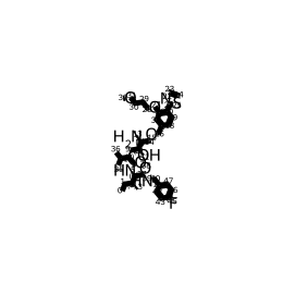 CC[C@H](C)[C@H](NC(=O)[C@H](C[C@H](O)[C@@H](N)COCc1ccc(-c2nccs2)c(OCCCOC)c1)C(C)C)C(=O)NCc1ccc(F)cc1